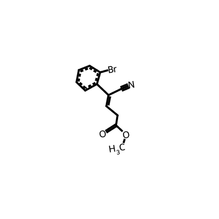 COC(=O)CC=C(C#N)c1ccccc1Br